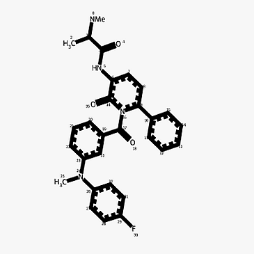 CNC(C)C(=O)Nc1ccc(-c2ccccc2)n(C(=O)c2cccc(N(C)c3ccc(F)cc3)c2)c1=O